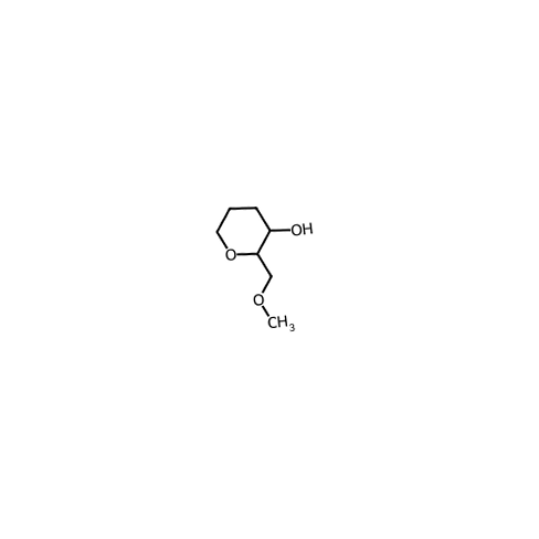 COCC1OCCCC1O